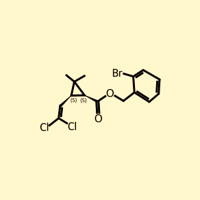 CC1(C)[C@H](C=C(Cl)Cl)[C@@H]1C(=O)OCc1ccccc1Br